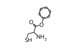 NC(CS)C(=O)Oc1ccccc1